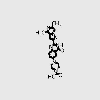 Cc1cn2nc(-c3nc4ccc(N5CCN(C(=O)O)CC5)cc4c(=O)[nH]3)cc2c(C)n1